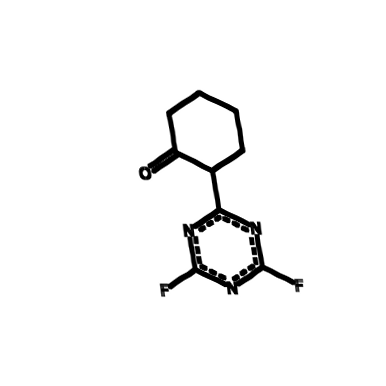 O=C1CCCCC1c1nc(F)nc(F)n1